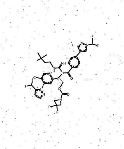 CC(C)(C)CCNC(=N)N(C(=O)c1ccc(-c2cnn(C(F)F)c2)cc1)[C@H](COC(=O)N1CC(F)(F)C1)c1ccc(Cl)c(-n2ncnc2C(F)F)c1